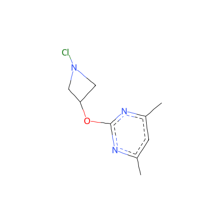 Cc1cc(C)nc(OC2CN(Cl)C2)n1